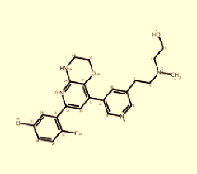 CN(CCO)CCc1cncc(-c2cc(-c3cc(Cl)ccc3F)nc3c2OCCN3)c1